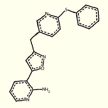 Nc1ncccc1-c1cc(Cc2ccc(Sc3ccccc3)nc2)no1